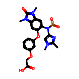 Cc1nc(N(c2cc3c(cc2Oc2cccc(OCC(=O)O)c2)n(C)c(=O)n3C)[SH](=O)=O)cn1C